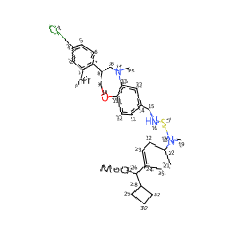 CCCc1cc(Cl)ccc1C1COc2ccc(CNSN(C)C(C)C/C=C(\C)C(OC)C3CCC3)cc2N(C)C1